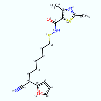 Cc1nc(C)c(C(=O)NSCCCCCCC(C#N)c2ccco2)s1